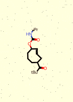 CC(C)NC(=O)OC1/C=C/CC(C(=O)C(C)(C)C)CCC1